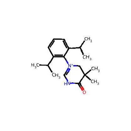 CC(C)c1cccc(C(C)C)c1[N+]1=CNC(=O)C(C)(C)C1